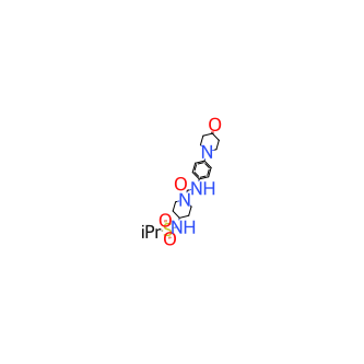 CC(C)S(=O)(=O)NC1CCN(C(=O)Nc2ccc(N3CCC(=O)CC3)cc2)CC1